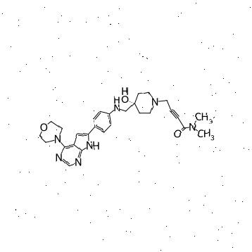 CN(C)C(=O)C#CCN1CCC(O)(CNc2ccc(-c3cc4c(N5CCOCC5)ncnc4[nH]3)cc2)CC1